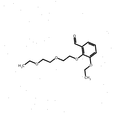 CCOCCOCCOc1c(C=O)cccc1OCC